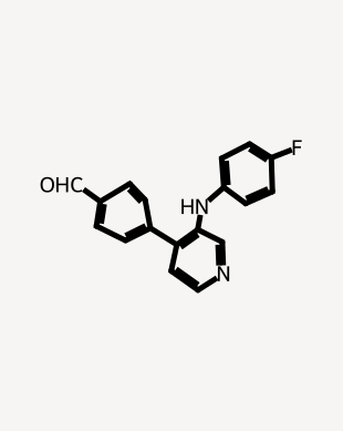 O=Cc1ccc(-c2ccncc2Nc2ccc(F)cc2)cc1